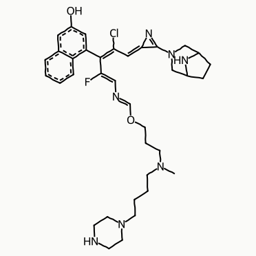 CN(CCCCN1CCNCC1)CCCO/C=N/C=C(F)/C(=C(Cl)\C=C1N=C/1N1CC2CCC(C1)N2)c1cc(O)cc2ccccc12